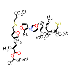 C/C=C(\C)C(=O)OC(CC)CCCCC.C=C=CC(C)C(=O)OCC.CCC/C=C/C(=O)OCC.CCOC(=O)CCS.CCOC(=O)CCSCc1ccco1.CCc1ccco1.c1cocn1